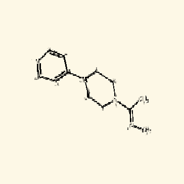 C/N=C(\C)N1CCN(c2ccncc2)CC1